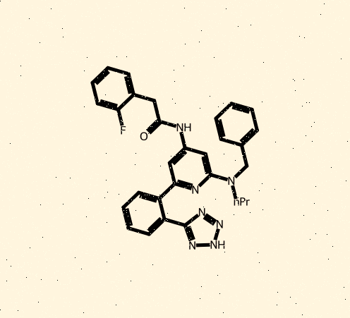 CCCN(Cc1ccccc1)c1cc(NC(=O)Cc2ccccc2F)cc(-c2ccccc2-c2nn[nH]n2)n1